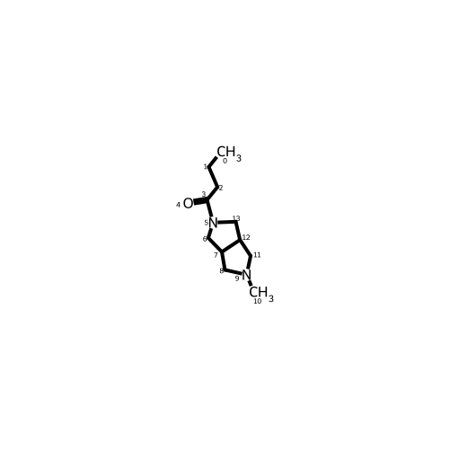 CCCC(=O)N1CC2CN(C)CC2C1